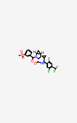 CS(=O)(=O)c1cccc(C(=O)N2[C@@H](C(=O)N[C@@H](c3cc(F)c(C(F)F)cc3F)C3CC3)C[C@H]3C[C@H]32)c1